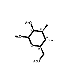 CC(=O)OC[C@H]1OC(OC(C)=O)[C@@H](OC(C)=O)[C@@H](C)[C@@H]1C